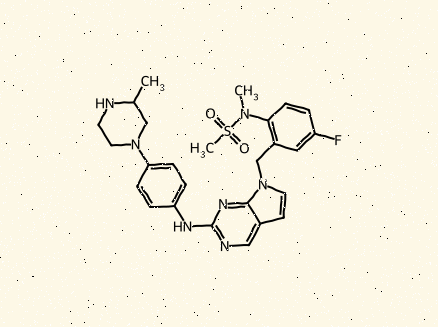 CC1CN(c2ccc(Nc3ncc4ccn(Cc5cc(F)ccc5N(C)S(C)(=O)=O)c4n3)cc2)CCN1